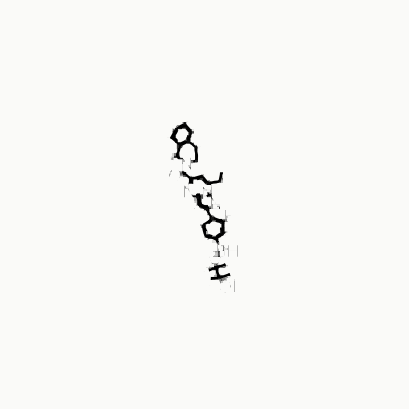 CCc1cc(C(=O)N2CCc3ccccc3[C@H]2C)nc2cc(-c3ccc(BOC(C)(C)C(C)(C)O)cc3F)nn12